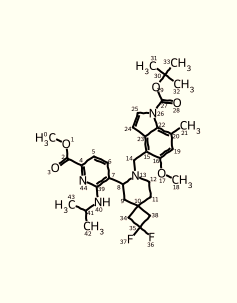 COC(=O)c1ccc(C2CC3(CCN2Cc2c(OC)cc(C)c4c2ccn4C(=O)OC(C)(C)C)CC(F)(F)C3)c(NC(C)C)n1